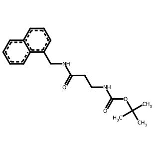 CC(C)(C)OC(=O)NCCC(=O)NCc1cccc2ccccc12